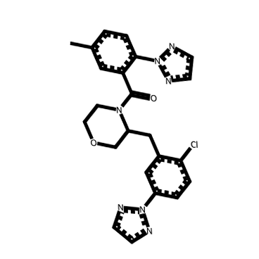 Cc1ccc(-n2nccn2)c(C(=O)N2CCOCC2Cc2cc(-n3nccn3)ccc2Cl)c1